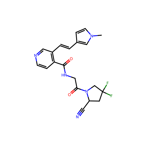 Cn1ccc(/C=C/c2cnccc2C(=O)NCC(=O)N2CC(F)(F)CC2C#N)c1